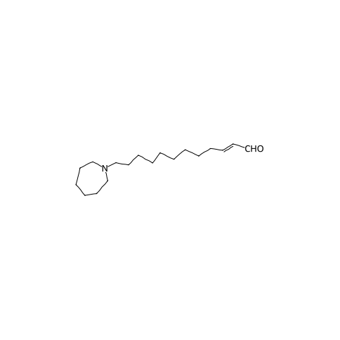 O=CC=CCCCCCCCCCN1CCCCCC1